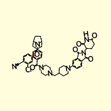 N#Cc1ccc(OC2CC3CCC(C2)N3c2ccc(C(=O)N3CCN(CC4CCN(c5ccc6c(c5)C(=O)N(C5CCC(=O)NC5=O)C6=O)CC4)CC3)cc2)cc1Cl